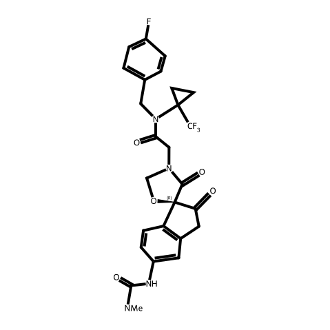 CNC(=O)Nc1ccc2c(c1)CC(=O)[C@]21OCN(CC(=O)N(Cc2ccc(F)cc2)C2(C(F)(F)F)CC2)C1=O